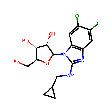 OC[C@@H]1O[C@H](n2c(NCC3CC3)nc3cc(Cl)c(Cl)cc32)[C@@H](O)[C@H]1O